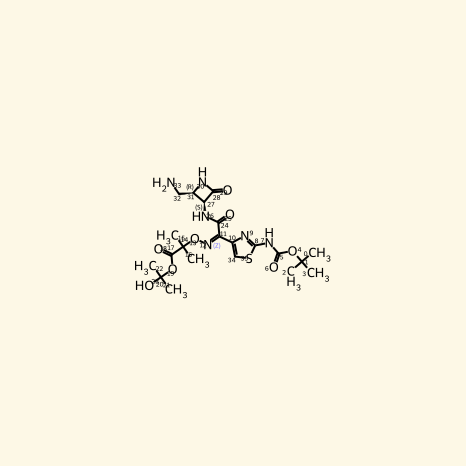 CC(C)(C)OC(=O)Nc1nc(/C(=N/OC(C)(C)C(=O)OC(C)(C)O)C(=O)N[C@@H]2C(=O)N[C@@H]2CN)cs1